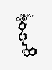 CC(=O)NS(=O)(=O)c1ccc(N2CCN(CC[C@@H]3OCCc4ccccc43)CC2)cc1